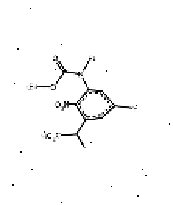 CCN(C(=O)OC(C)(C)C)c1cc(F)cc(C(C)C(=O)O)c1[N+](=O)[O-]